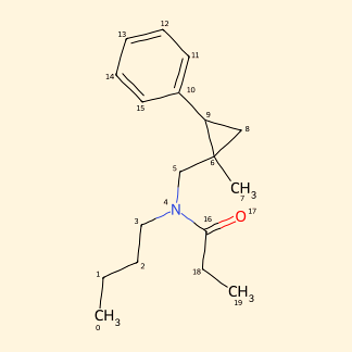 CCCCN(CC1(C)CC1c1ccccc1)C(=O)CC